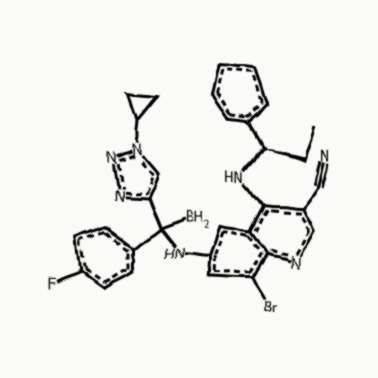 BC(Nc1cc(Br)c2ncc(C#N)c(N[C@H](CC)c3ccccc3)c2c1)(c1ccc(F)cc1)c1cn(C2CC2)nn1